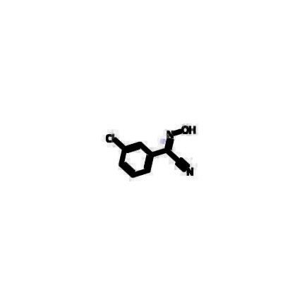 N#C/C(=N\O)c1cccc(Cl)c1